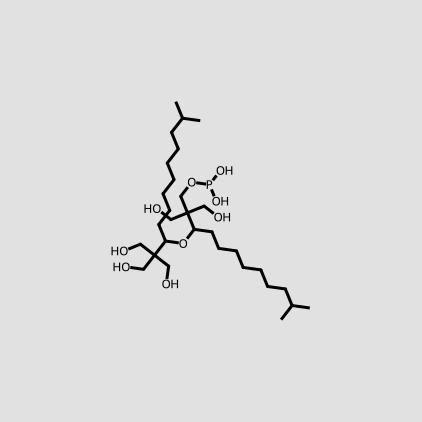 CC(C)CCCCCCCC(OC(CCCCCCCC(C)C)C(CO)(CO)COP(O)O)C(CO)(CO)CO